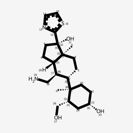 C[C@]1([C@H]2CC[C@@]3(C)[C@@H](CC[C@@]3(O)c3nccs3)[C@@H]2CN)CC[C@H](O)C[C@@H]1CO